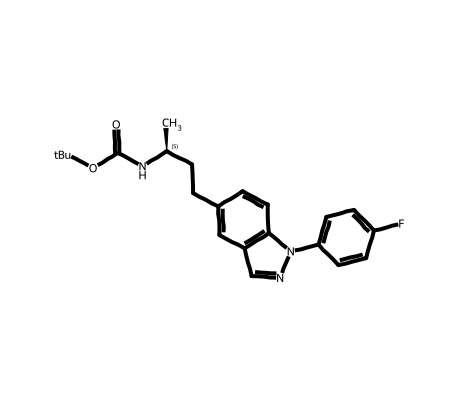 C[C@@H](CCc1ccc2c(cnn2-c2ccc(F)cc2)c1)NC(=O)OC(C)(C)C